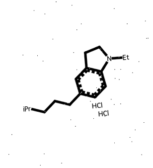 CCN1CCc2cc(CCCC(C)C)ccc21.Cl.Cl